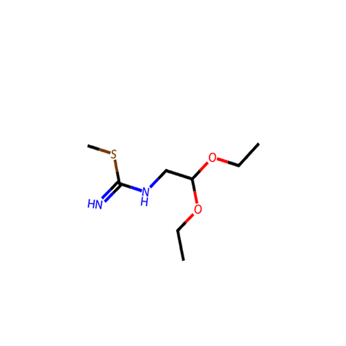 CCOC(CNC(=N)SC)OCC